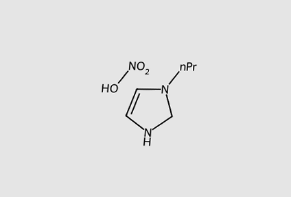 CCCN1C=CNC1.O=[N+]([O-])O